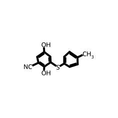 Cc1ccc(Sc2cc(O)cc(C#N)c2O)cc1